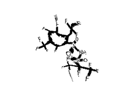 O=S(=O)(NS(=O)(=O)C(F)(C(F)(F)F)C(F)(F)F)c1c(F)c(C(F)(F)F)c(F)c(F)c1C(F)(F)F